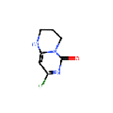 O=c1nc(Cl)cc2n1CCCN2